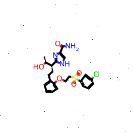 C[C@H](O)[C@H](CCc1ccccc1OCCS(=O)(=O)c1cccc(Cl)c1)c1nc(C(N)=O)c[nH]1